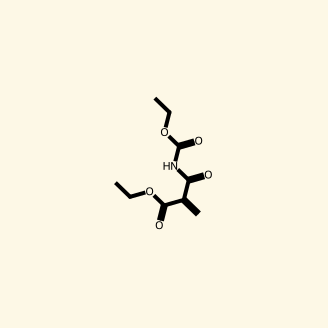 C=C(C(=O)NC(=O)OCC)C(=O)OCC